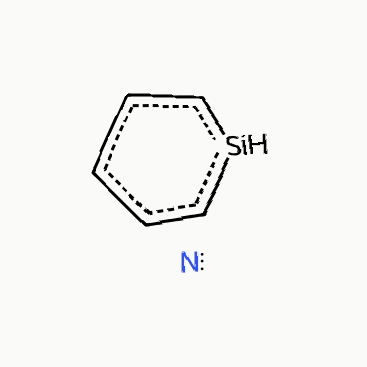 [N].c1cc[siH]cc1